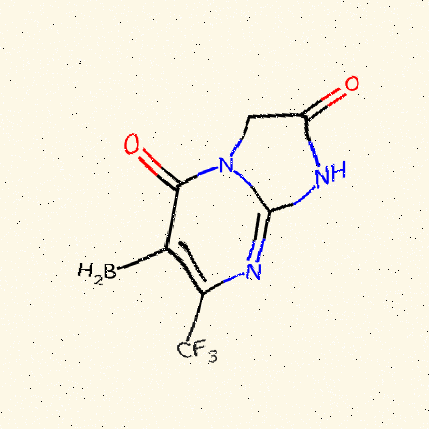 Bc1c(C(F)(F)F)nc2n(c1=O)CC(=O)N2